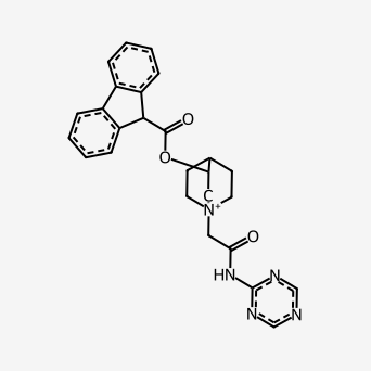 O=C(C[N+]12CCC(CC1)C(OC(=O)C1c3ccccc3-c3ccccc31)C2)Nc1ncncn1